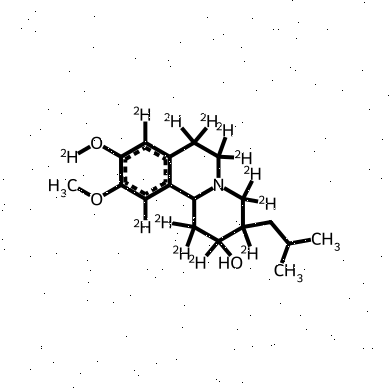 [2H]Oc1c([2H])c2c(c([2H])c1OC)C1N(C([2H])([2H])C2([2H])[2H])C([2H])([2H])C([2H])(CC(C)C)C([2H])(O)C1([2H])[2H]